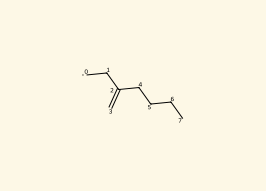 [CH2]CC(=C)CCCC